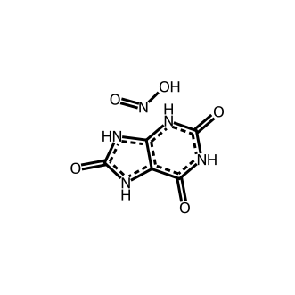 O=NO.O=c1[nH]c(=O)c2[nH]c(=O)[nH]c2[nH]1